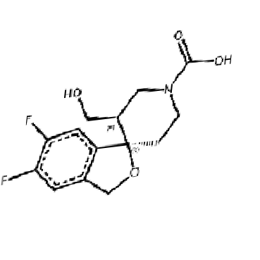 O=C(O)N1CC[C@@]2(OCc3cc(F)c(F)cc32)[C@@H](CO)C1